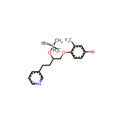 CC(C)(C)[Si](C)(C)OC(CCc1cccnc1)COc1ccc(Br)cc1C(F)(F)F